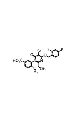 Cc1ccc(C(=O)O)cc1-n1c(CO)nc(OCc2ccc(F)cc2F)c(Br)c1=O